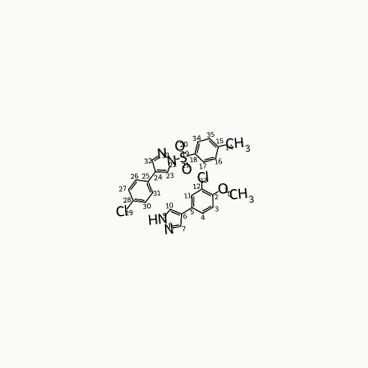 COc1ccc(-c2cn[nH]c2)cc1Cl.Cc1ccc(S(=O)(=O)n2cc(-c3ccc(Cl)cc3)cn2)cc1